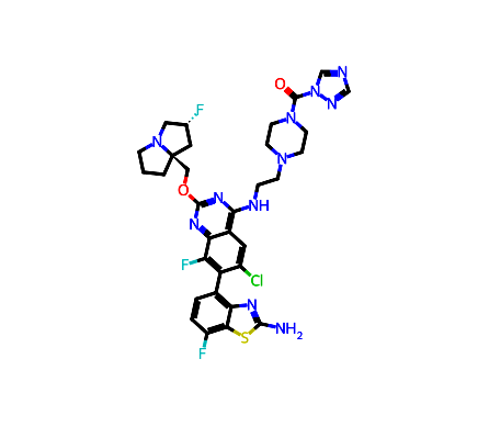 Nc1nc2c(-c3c(Cl)cc4c(NCCN5CCN(C(=O)n6cncn6)CC5)nc(OC[C@@]56CCCN5C[C@H](F)C6)nc4c3F)ccc(F)c2s1